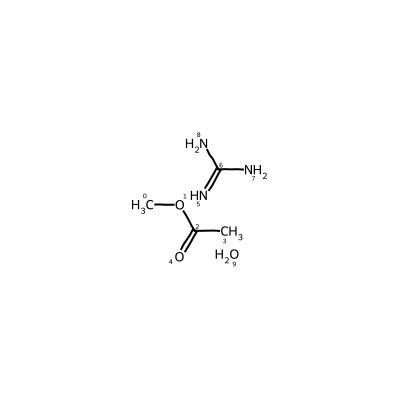 COC(C)=O.N=C(N)N.O